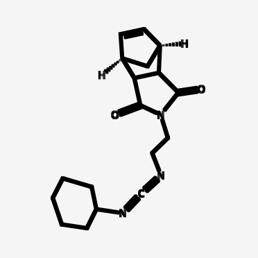 O=C1C2C(C(=O)N1CCN=C=NC1CCCCC1)[C@H]1C=C[C@@H]2C1